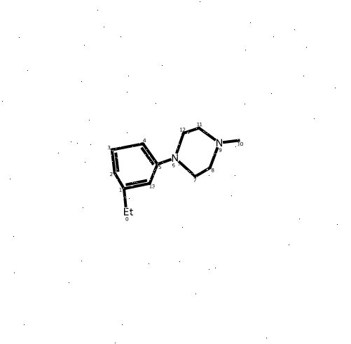 CCc1cccc(N2CCN(C)CC2)c1